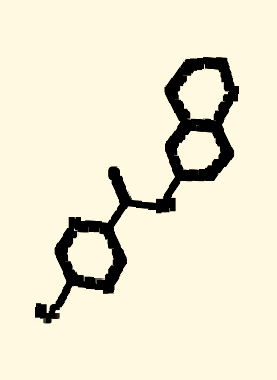 Cc1cnc(C(=O)Nc2ccc3ncccc3c2)cn1